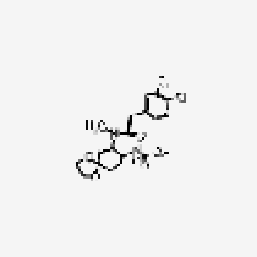 CN(C(=O)Cc1ccc(Cl)c(Cl)c1)C1CC2(CCC1NC(=O)O)OCCO2